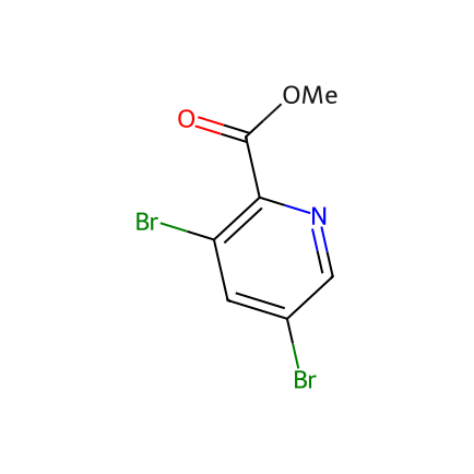 COC(=O)c1ncc(Br)cc1Br